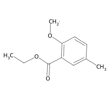 [CH2]Oc1ccc(C)cc1C(=O)OCC